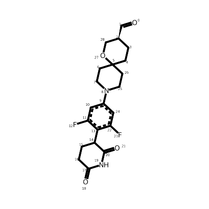 O=C[C@H]1CCC2(CCN(c3cc(F)c(C4CCC(=O)NC4=O)c(F)c3)CC2)OC1